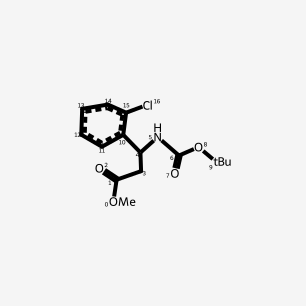 COC(=O)CC(NC(=O)OC(C)(C)C)c1ccccc1Cl